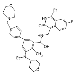 CCc1[nH]c(=O)c(CNC(O)c2cc(-c3ccc(CN4CCOCC4)cc3)cc(N(CC)C3CCOCC3)c2C)c2ccc(F)cc12